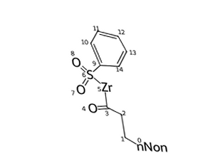 CCCCCCCCCCC[C](=O)[Zr][S](=O)(=O)c1ccccc1